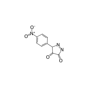 O=C1N=NC(c2ccc([N+](=O)[O-])cc2)C1=O